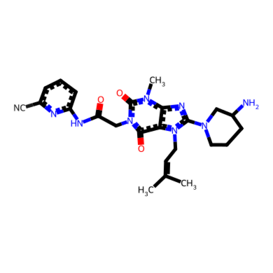 CC(C)=CCn1c(N2CCCC(N)C2)nc2c1c(=O)n(CC(=O)Nc1cccc(C#N)n1)c(=O)n2C